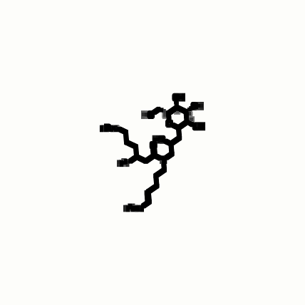 CCCCCCCCCC=CCCCN(CC(O)CC1O[C@H](CO)[C@@H](O)[C@H](O)[C@H]1O)C(=O)CC(CCC)CCCCCCCCCCCCC